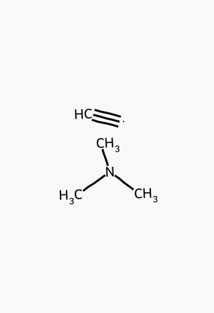 CN(C)C.[C]#C